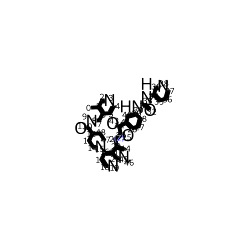 Cc1cnccc1CN(C)C(=O)C1CCN(c2ccnc3c2c(/C=C2\Oc4ccc(NC(=O)Nc5cccnc5)cc4C2=O)cn3C)CC1